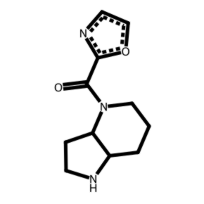 O=C(c1ncco1)N1CCCC2NCCC21